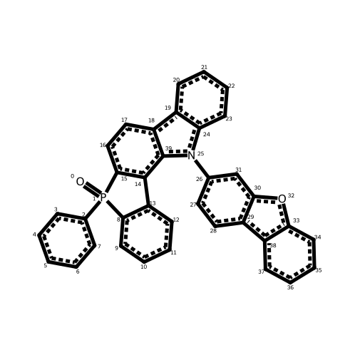 O=P1(c2ccccc2)c2ccccc2-c2c1ccc1c3ccccc3n(-c3ccc4c(c3)oc3ccccc34)c21